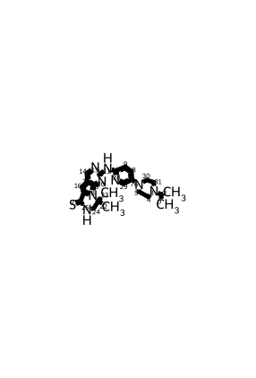 CC(C)N1CCN(c2ccc(Nc3ncc4cc5n(c4n3)C(C)(C)CNC5=S)nc2)CC1